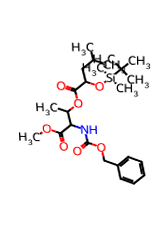 COC(=O)C(NC(=O)OCc1ccccc1)C(C)OC(=O)C(CC(C)C)O[Si](C)(C)C(C)(C)C